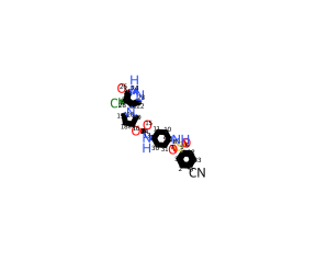 N#Cc1ccc(S(=O)(=O)NC2CCC(NC(=O)O[C@@H]3CCN(c4cn[nH]c(=O)c4Cl)C3)CC2)cc1